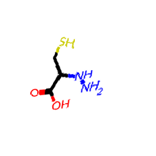 NNC(CS)C(=O)O